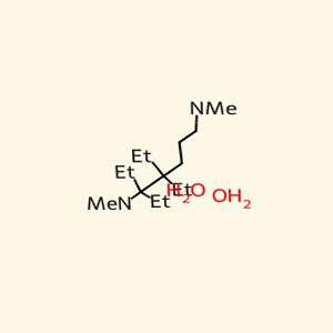 CCC(CC)(CCCNC)C(CC)(CC)NC.O.O